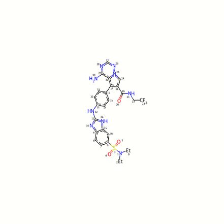 CCN(CC)S(=O)(=O)c1ccc2nc(Nc3ccc(-c4c(C(=O)NCC(F)(F)F)cn5ncnc(N)c45)cc3)[nH]c2c1